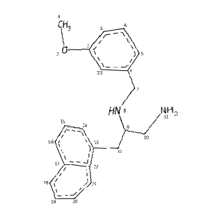 COc1cccc(CNC(CN)Cc2cccc3ccccc23)c1